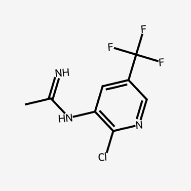 CC(=N)Nc1cc(C(F)(F)F)cnc1Cl